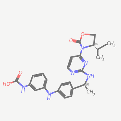 CC(C)[C@H]1COC(=O)N1c1ccnc(N[C@@H](C)c2ccc(Nc3cccc(NC(=O)O)c3)cc2)n1